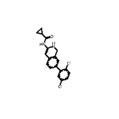 O=C(NC1=Cc2ccc(-c3cc(Cl)ccc3Cl)cc2CN1)C1CC1